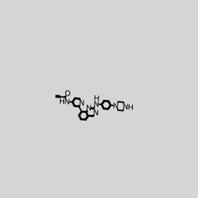 C#CC(=O)Nc1ccnc(-c2cccc3cnc(Nc4ccc(N5CCNCC5)cc4)nc23)c1